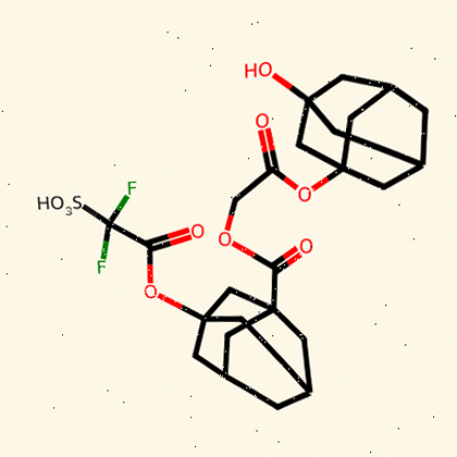 O=C(COC(=O)C12CC3CC(CC(OC(=O)C(F)(F)S(=O)(=O)O)(C3)C1)C2)OC12CC3CC(CC(O)(C3)C1)C2